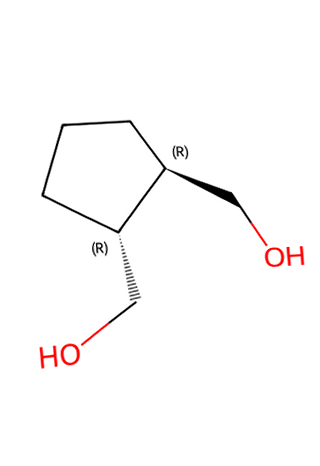 OC[C@@H]1CCC[C@H]1CO